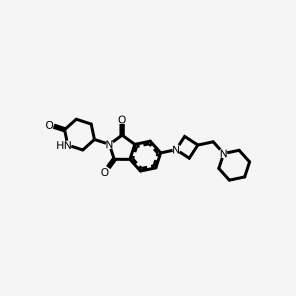 O=C1CCC(N2C(=O)c3ccc(N4CC(CN5CCCCC5)C4)cc3C2=O)CN1